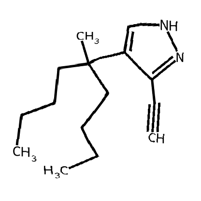 C#Cc1n[nH]cc1C(C)(CCCC)CCCC